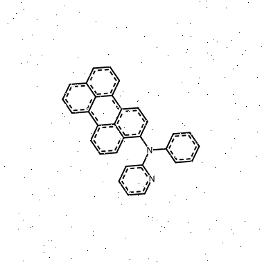 c1ccc(N(c2ccccn2)c2ccc3c4cccc5cccc(c6cccc2c63)c54)cc1